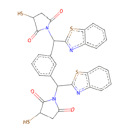 O=C1CC(S)C(=O)N1C(c1cccc(C(c2nc3ccccc3s2)N2C(=O)CC(S)C2=O)c1)c1nc2ccccc2s1